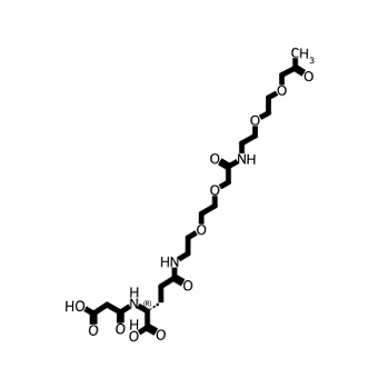 CC(=O)COCCOCCNC(=O)COCCOCCNC(=O)CC[C@@H](NC(=O)CC(=O)O)C(=O)O